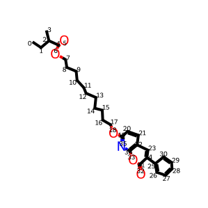 CCC(C)C(=O)OCCCCCCCCCCCOc1ccc2cc(-c3ccccc3)c(=O)oc2n1